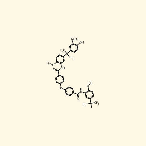 [2H]Oc1ccc(C(C)(C(F)(F)F)C(F)(F)F)cc1NC(=O)c1ccc(Oc2ccc(C(=O)Nc3cc(C(c4ccc(O)c(NC(C)=O)c4)(C(F)(F)F)C(F)(F)F)ccc3O[2H])cc2)cc1